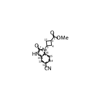 COC(=O)C1CC(n2c(=O)[nH]c3cc(C#N)ccc32)C1